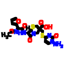 CON=C(C(=O)N[C@@H]1C(=O)N2CC(CSc3ccn(N)c(=O)n3)(C(=O)O)CS[C@H]12)c1ccco1